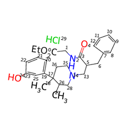 CCOC(=O)CNC(=O)C(Cc1ccccc1)CN1CCC(C)(c2cccc(O)c2)C(C)C1.Cl